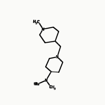 CN1CCC(CN2CCC(N(C)C(C)(C)C)CC2)CC1